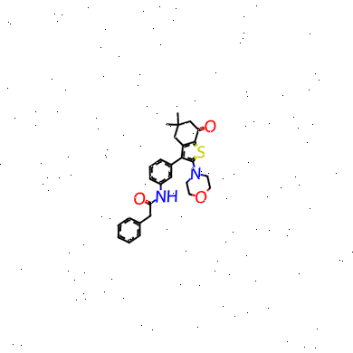 CC1(C)CC(=O)c2sc(N3CCOCC3)c(-c3cccc(NC(=O)Cc4ccccc4)c3)c2C1